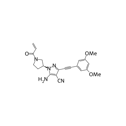 C=CC(=O)N1CC[C@H](n2nc(C#Cc3cc(OC)cc(OC)c3)c(C#N)c2N)C1